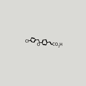 O=C(O)C=Cc1ccc(C(=O)Cc2ccc(Cl)cc2)cc1